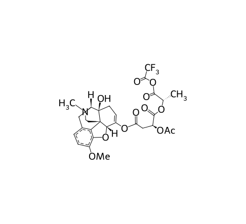 COc1ccc2c3c1O[C@H]1C(OC(=O)C[C@H](OC(C)=O)C(=O)O[C@@H](C)C(=O)OC(=O)C(F)(F)F)=CC[C@@]4(O)[C@@H](C2)N(C)CC[C@]314